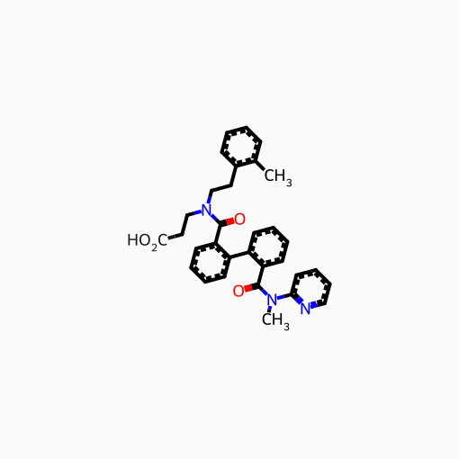 Cc1ccccc1CCN(CCC(=O)O)C(=O)c1ccccc1-c1ccccc1C(=O)N(C)c1ccccn1